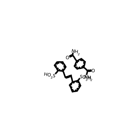 NC(=O)c1ccc(C(N)=O)cc1.O=S(=O)(O)c1ccccc1C=Cc1ccccc1S(=O)(=O)O